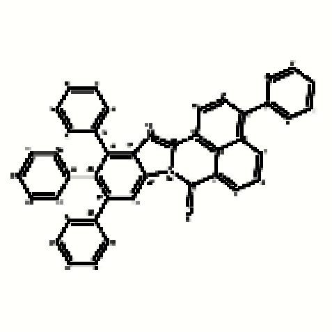 O=c1c2cccc3c(-c4ccccc4)ccc(c32)c2nc3c(-c4ccccc4)c(-c4ccccc4)c(-c4ccccc4)cc3n12